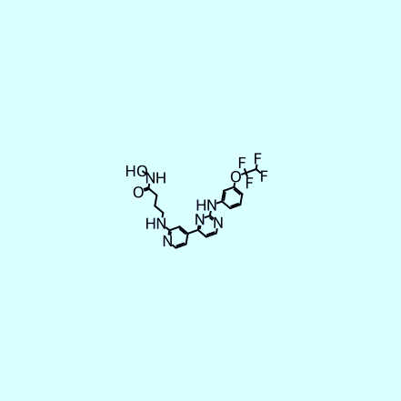 O=C(CCCNc1cc(-c2ccnc(Nc3cccc(OC(F)(F)C(F)F)c3)n2)ccn1)NO